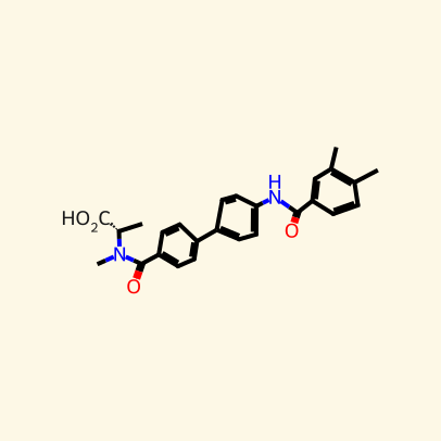 Cc1ccc(C(=O)Nc2ccc(-c3ccc(C(=O)N(C)[C@@H](C)C(=O)O)cc3)cc2)cc1C